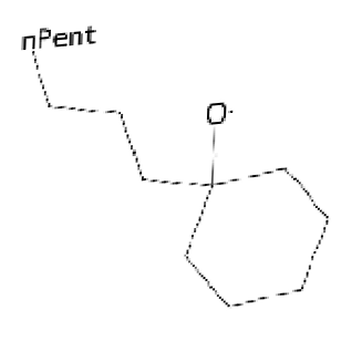 CCCCCCCCC1([O])CCCCC1